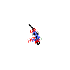 CCCCCC(C)(C)OC(=O)N1[C@@H](C)CN(c2cc(/C(=N\O)C3CCC[C@@]4(CCCCC45OCCO5)C3=O)nc(Cl)n2)C[C@@H]1C